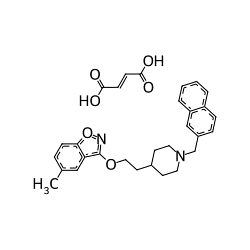 Cc1ccc2onc(OCCC3CCN(Cc4ccc5ccccc5c4)CC3)c2c1.O=C(O)C=CC(=O)O